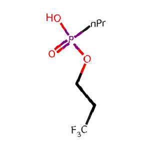 CCCP(=O)(O)OCCC(F)(F)F